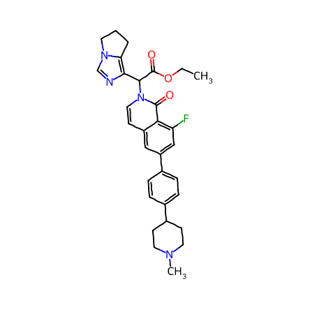 CCOC(=O)C(c1ncn2c1CCC2)n1ccc2cc(-c3ccc(C4CCN(C)CC4)cc3)cc(F)c2c1=O